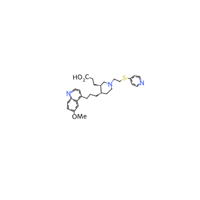 COc1ccc2nccc(CCC[C@@H]3CCN(CCSc4ccncc4)C[C@@H]3CCC(=O)O)c2c1